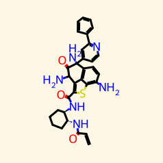 C=CC(=O)N[C@@H]1CCCC[C@H]1NC(=O)c1sc2c(N)ccc3c2c1C(N)C(=O)C3(N)c1ccnc(-c2ccccc2)c1